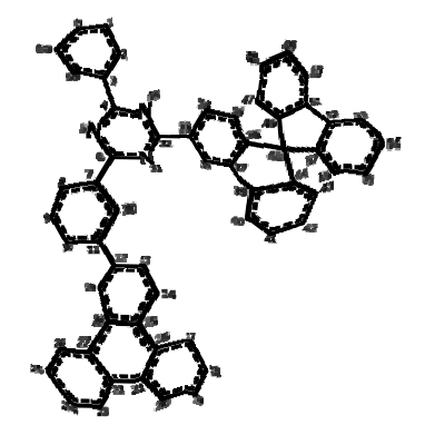 c1ccc(-c2nc(-c3cccc(-c4ccc5c6ccccc6c6ccccc6c5c4)c3)nc(-c3ccc4c(c3)-c3ccccc3C43c4ccccc4-c4ccccc43)n2)cc1